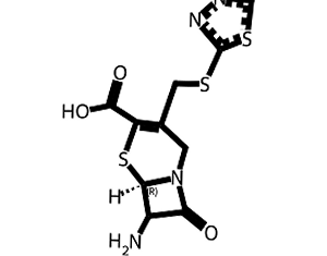 NC1C(=O)N2CC(CSc3nncs3)=C(C(=O)O)S[C@H]12